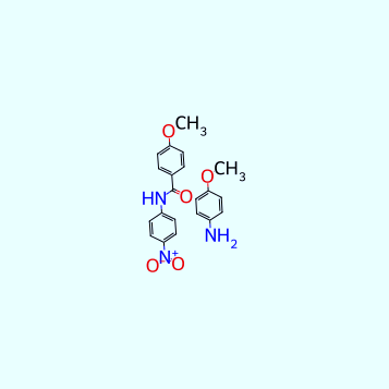 COc1ccc(C(=O)Nc2ccc([N+](=O)[O-])cc2)cc1.COc1ccc(N)cc1